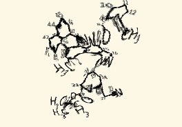 Cc1cc2c(nc(OC[C@@H]3CCCN3C)c3cnn([C@H]4CCN(C(=O)OC(C)(C)C)[C@H](CC#N)C4)c32)c(F)c1-c1cccc2cccc(C#N)c12